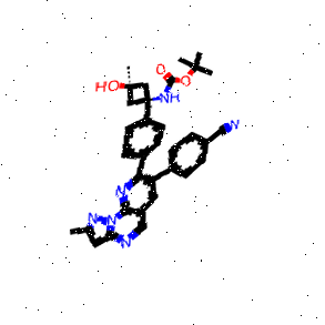 Cc1cc2ncc3cc(-c4ccc(C#N)cc4)c(-c4ccc([C@]5(NC(=O)OC(C)(C)C)C[C@@](C)(O)C5)cc4)nc3n2n1